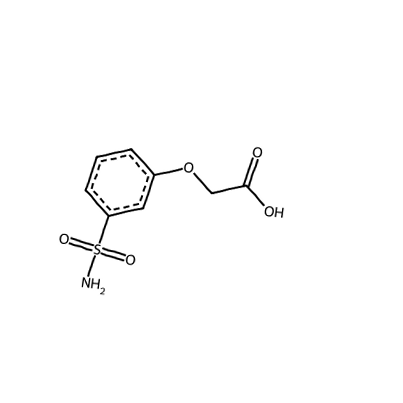 NS(=O)(=O)c1cccc(OCC(=O)O)c1